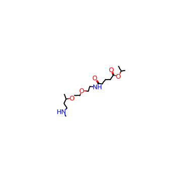 CNCCC(C)OCCOCCNC(=O)CCCC(=O)OC(C)C